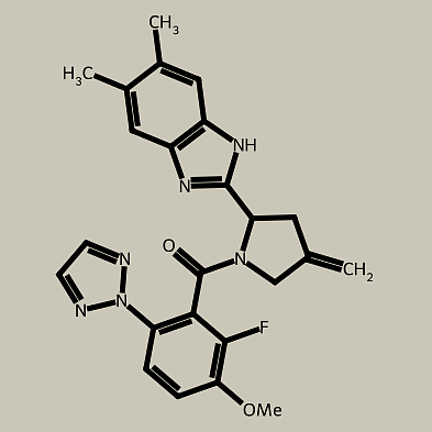 C=C1CC(c2nc3cc(C)c(C)cc3[nH]2)N(C(=O)c2c(-n3nccn3)ccc(OC)c2F)C1